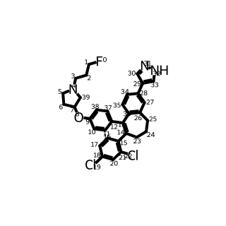 FCCCN1CCC(Oc2ccc(C3=C(c4ccc(Cl)cc4Cl)CCCc4cc(-c5cn[nH]c5)ccc43)cc2)C1